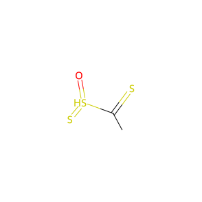 CC(=S)[SH](=O)=S